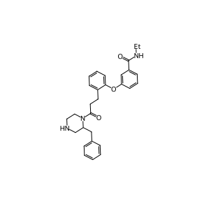 CCNC(=O)c1cccc(Oc2ccccc2CCC(=O)N2CCNCC2Cc2ccccc2)c1